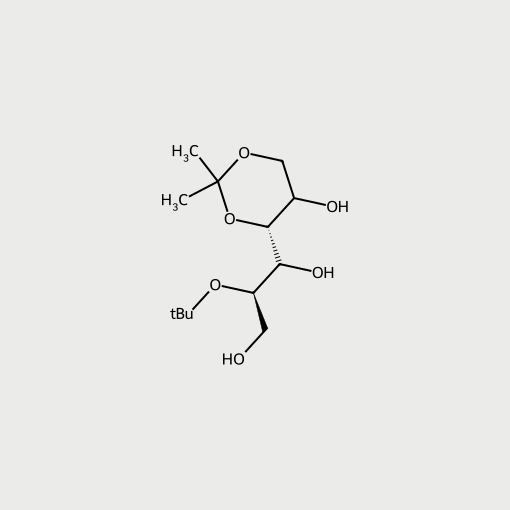 CC(C)(C)O[C@H](CO)C(O)[C@@H]1OC(C)(C)OCC1O